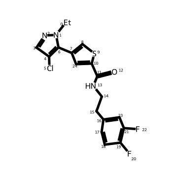 CCn1ncc(Cl)c1-c1csc(C(=O)NCCc2ccc(F)c(F)c2)c1